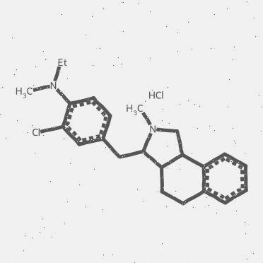 CCN(C)c1ccc(CC2C3CCc4ccccc4C3CN2C)cc1Cl.Cl